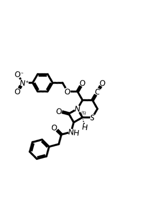 O=C=C1CS[C@H]2C(NC(=O)Cc3ccccc3)C(=O)N2C1C(=O)OCc1ccc([N+](=O)[O-])cc1